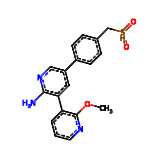 COc1ncccc1-c1cc(-c2ccc(C[SH](=O)=O)cc2)cnc1N